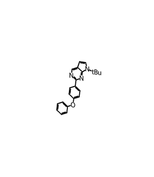 CC(C)(C)n1ccc2cnc(-c3ccc(Oc4ccccc4)cc3)nc21